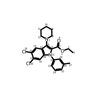 CCOC(=O)c1c(N2CCCCC2)c2cc(Cl)c(Cl)cc2n1-c1cccc(C)c1